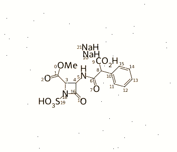 COC(=O)C1C(NC(=O)C(C(=O)O)c2ccccc2)C(=O)N1S(=O)(=O)O.[NaH].[NaH]